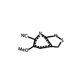 COc1cc2c(nc1C#N)[N]SC2